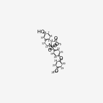 COC(=O)C1c2ccc(O)cc2CCN1S(=O)(=O)c1ccc(Oc2ccc(OC)cc2)cc1